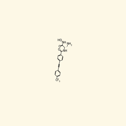 NC[C@H](NC(=O)c1ccc(C#Cc2ccc(C(F)(F)F)cc2)cc1)C(=O)NO